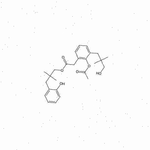 CC(=O)Oc1c(CC(=O)OCC(C)(C)Cc2ccccc2O)cccc1CC(C)(C)CO